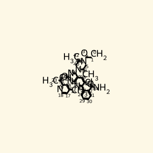 C=CC(=O)N1C[C@H](C)N(c2nc(=O)n(-c3c(C)ccnc3C(C)C)c3nc(-c4ccccc4C(N)=O)c(Cl)cc23)C[C@H]1C